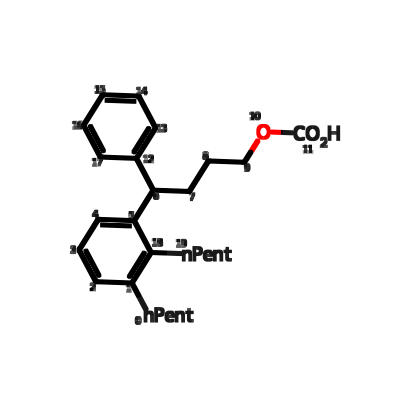 CCCCCc1cccc(C(CCCOC(=O)O)c2ccccc2)c1CCCCC